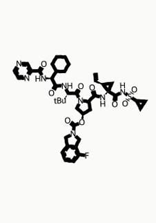 C=C[C@H]1C[C@@]1(NC(=O)C1C[C@@H](OC(=O)N2Cc3cccc(F)c3C2)CN1C(=O)[C@@H](NC(=O)[C@@H](NC(=O)c1cnccn1)C1CCCCC1)C(C)(C)C)C(=O)NS(=O)(=O)C1CC1